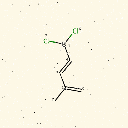 C=C(C)C=CB(Cl)Cl